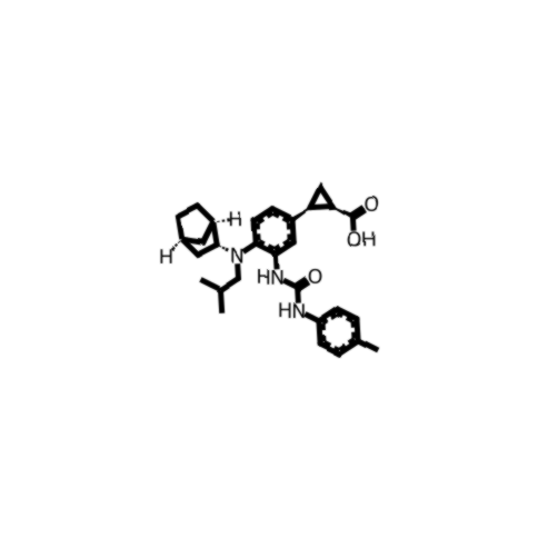 Cc1ccc(NC(=O)Nc2cc([C@H]3C[C@H]3C(=O)O)ccc2N(CC(C)C)[C@@H]2C[C@H]3CC[C@@H]2C3)cc1